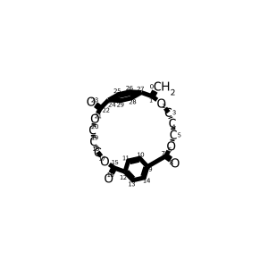 C=C1OCCCOC(=O)c2ccc(cc2)C(=O)OCCCOC(=O)c2ccc1cc2